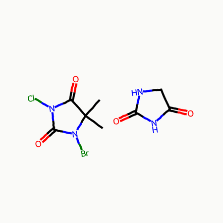 CC1(C)C(=O)N(Cl)C(=O)N1Br.O=C1CNC(=O)N1